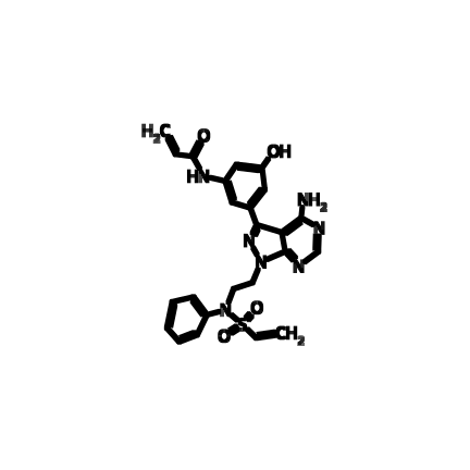 C=CC(=O)Nc1cc(O)cc(-c2nn(CCN(c3ccccc3)S(=O)(=O)C=C)c3ncnc(N)c23)c1